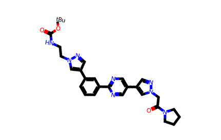 CC(C)(C)OC(=O)NCCn1cc(-c2cccc(-c3ncc(-c4cnn(CC(=O)N5CCCC5)c4)cn3)c2)cn1